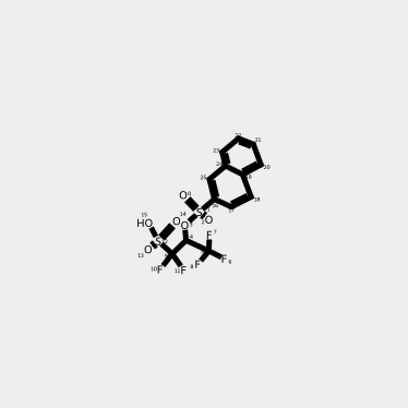 O=S(=O)(OC(C(F)(F)F)C(F)(F)S(=O)(=O)O)c1ccc2ccccc2c1